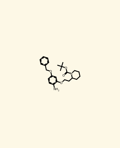 CC(C)(C)OC(=O)N1CCCCC1CCOc1cc(OCc2ccccc2)ccc1N